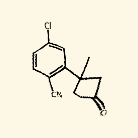 CC1(c2cc(Cl)ccc2C#N)CC(=O)C1